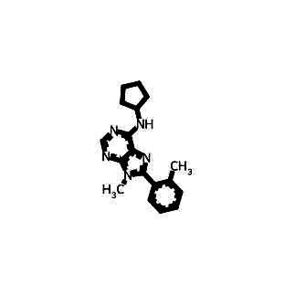 Cc1ccccc1-c1nc2c(NC3CCCC3)ncnc2n1C